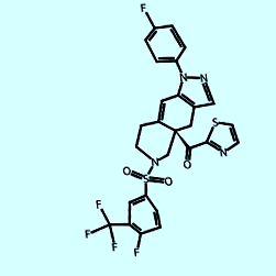 O=C(c1nccs1)[C@]12Cc3cnn(-c4ccc(F)cc4)c3C=C1CCN(S(=O)(=O)c1ccc(F)c(C(F)(F)F)c1)C2